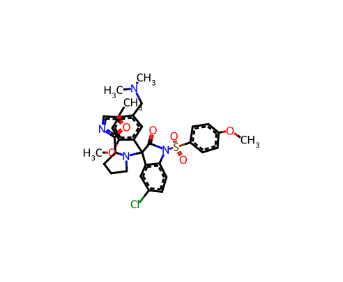 COc1ccc(S(=O)(=O)N2C(=O)C(c3cc(CN(C)C)ccc3OC)(N3CCCC3c3ncc(C)o3)c3cc(Cl)ccc32)cc1